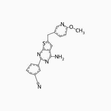 COc1ccc(Cc2cc3c(N)nc(-c4cccc(C#N)c4)nc3s2)cn1